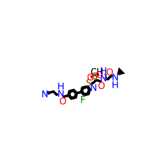 CS(=O)(=O)C(C(=O)NCC(=O)NC1CC1)c1nc2cc(F)c(-c3ccc(C(=O)NCCC#N)cc3)cc2s1